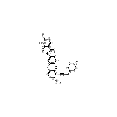 CN1CCC(CC#Cc2c(Oc3ccc(NC(=O)c4c[nH]c(=O)[nH]c4=O)cc3F)ccnc2N)CC1